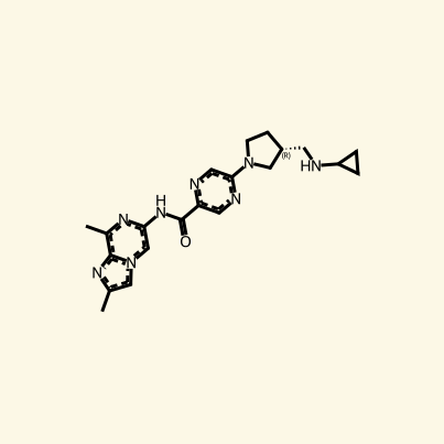 Cc1cn2cc(NC(=O)c3cnc(N4CC[C@H](CNC5CC5)C4)cn3)nc(C)c2n1